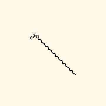 CCCCCCCCCCCCCCCCCCCCCCOC(=O)Cl